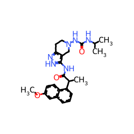 COc1ccc2c(C(C)C(=O)Nc3[nH]nc4c3CN(NC(=O)NC(C)C)CC4)cccc2c1